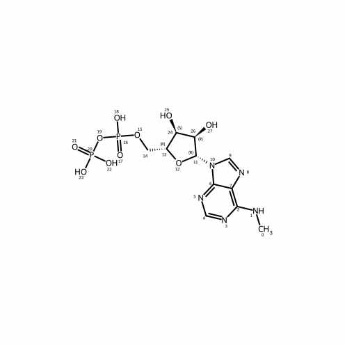 CNc1ncnc2c1ncn2[C@@H]1O[C@H](COP(=O)(O)OP(=O)(O)O)[C@@H](O)[C@H]1O